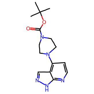 CC(C)(C)OC(=O)N1CCN(c2ccnc3[nH]ncc23)CC1